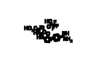 CC[C@@H](NC(=O)NC1CCN(c2ccc(C(=N)N)cc2)C1=O)C(=O)O.O=C(O)C(F)(F)F